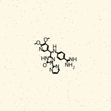 COc1cc(C(Nc2ccc(C(=N)N)cc2)c2nn(-c3ncccn3)c(=O)[nH]2)cnc1OC